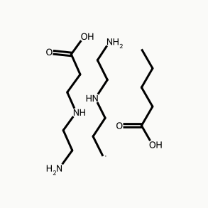 CCCCC(=O)O.NCCNCCC(=O)O.[CH2]CCNCCN